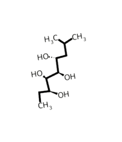 CC[C@H](O)[C@@H](O)[C@H](O)[C@H](O)CC(C)C